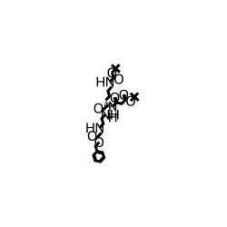 CC(C)(C)OC(=O)CC(=O)N[C@@H](CCCCNC(=O)OC(C)(C)C)C(=O)NCCNCC(=O)OCc1ccccc1